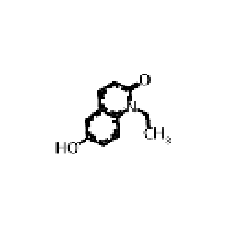 CCn1c(=O)ccc2cc(O)ccc21